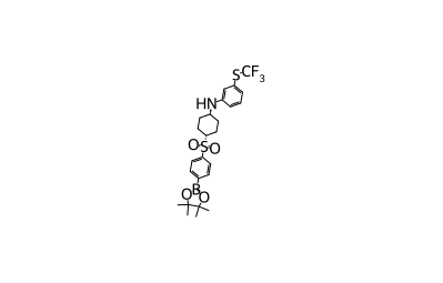 CC1(C)OB(c2ccc(S(=O)(=O)[C@H]3CC[C@H](Nc4cccc(SC(F)(F)F)c4)CC3)cc2)OC1(C)C